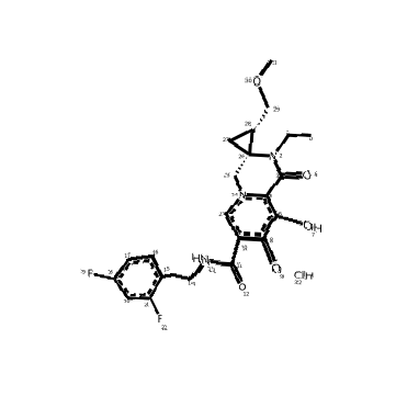 CCN1C(=O)c2c(O)c(=O)c(C(=O)NCc3ccc(F)cc3F)cn2C[C@@]12C[C@@H]2COC.Cl